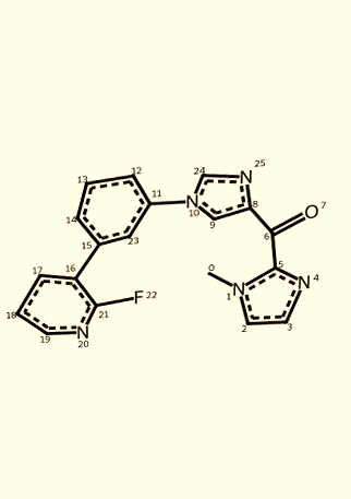 Cn1ccnc1C(=O)c1cn(-c2cccc(-c3cccnc3F)c2)cn1